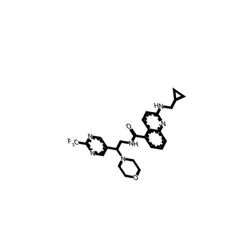 O=C(NCC(c1cnc(C(F)(F)F)nc1)N1CCOCC1)c1cccc2nc(NCC3CC3)ccc12